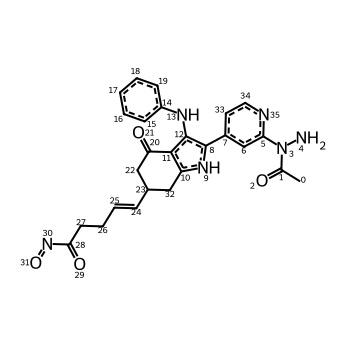 CC(=O)N(N)c1cc(-c2[nH]c3c(c2Nc2ccccc2)C(=O)CC(C=CCCC(=O)N=O)C3)ccn1